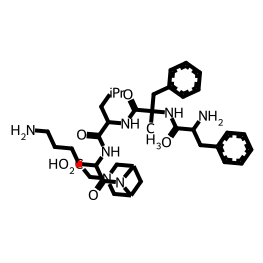 CC(C)CC(NC(=O)C(C)(Cc1ccccc1)NC(=O)C(N)Cc1ccccc1)C(=O)NC(CCCCN)C(=O)N1C2CC1CN(CC(=O)O)C2